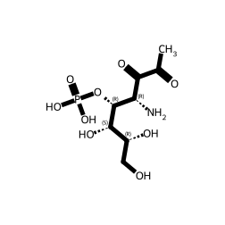 CC(=O)C(=O)[C@H](N)[C@@H](OP(=O)(O)O)[C@@H](O)[C@H](O)CO